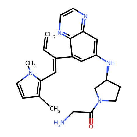 C=C/C(=C\c1c(C)ccn1C)c1cc(N[C@H]2CCN(C(=O)CN)C2)cc2nccnc12